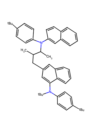 CC(Cc1cc(N(c2ccc(C(C)(C)C)cc2)C(C)(C)C)c2ccccc2c1)C(C)N(c1ccc(C(C)(C)C)cc1)c1ccc2ccccc2c1